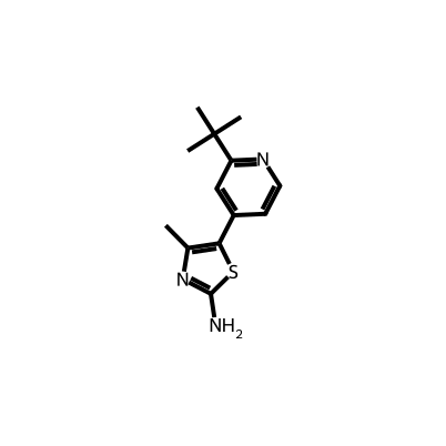 Cc1nc(N)sc1-c1ccnc(C(C)(C)C)c1